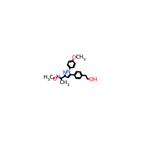 CO/N=C(\C)c1cc(-c2ccc(CCO)cc2)n(-c2ccc(OC)cc2)n1